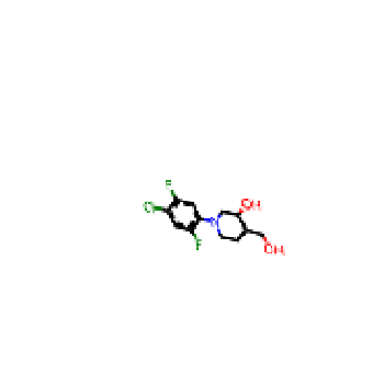 OCC1CCN(c2cc(F)c(Cl)cc2F)CC1O